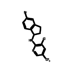 FC(F)(F)c1cnc(NC2CCc3cc(Br)ccc32)c(Cl)c1